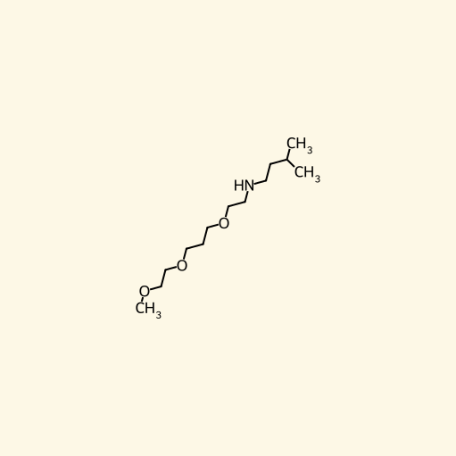 COCCOCCCOCCNCCC(C)C